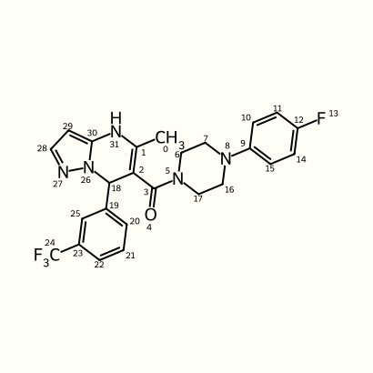 CC1=C(C(=O)N2CCN(c3ccc(F)cc3)CC2)C(c2cccc(C(F)(F)F)c2)n2nccc2N1